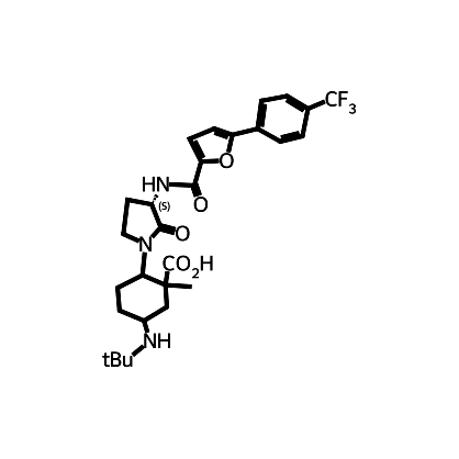 CC(C)(C)NC1CCC(N2CC[C@H](NC(=O)c3ccc(-c4ccc(C(F)(F)F)cc4)o3)C2=O)C(C)(C(=O)O)C1